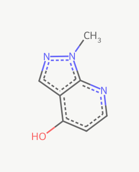 Cn1ncc2c(O)ccnc21